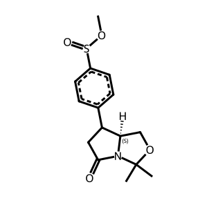 COS(=O)c1ccc(C2CC(=O)N3[C@@H]2COC3(C)C)cc1